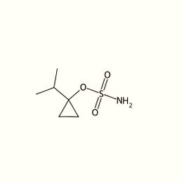 CC(C)C1(OS(N)(=O)=O)CC1